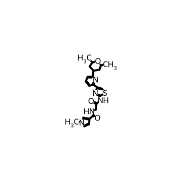 CC1CC(c2cccc(-c3csc(NC(=O)CNC(=O)c4ccn(C)c4)n3)n2)CC(C)O1